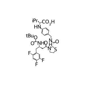 CC(C)[C@H](Nc1ccc(CNC(=O)[C@@H]2SCCN2C(=O)C[C@@H](Cc2cc(F)c(F)cc2F)NC(=O)OC(C)(C)C)cc1)C(=O)O